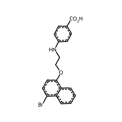 O=C(O)c1ccc(NCCOc2ccc(Br)c3ccccc23)cc1